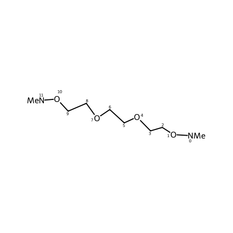 CNOCCOCCOCCONC